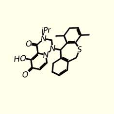 CC1=CCC(C)C2=C1SCC1=C(CCC=C1)C2N1CN(C(C)C)C(=O)c2c(O)c(=O)ccn21